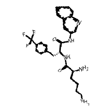 NCCCC[C@H](N)C(=O)N[C@H](Cc1ccc(C(F)(F)F)cc1)C(=O)Nc1cnc2ccccc2c1